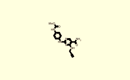 C#CCNc1nc(Nc2ccc(NC(=O)OC)cc2)ncc1C(N)=O